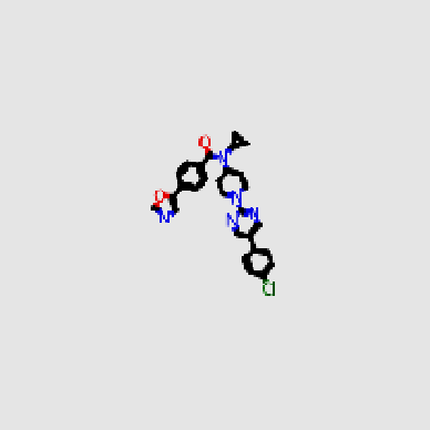 O=C(c1ccc(-c2cnco2)cc1)N(C1CC1)C1CCN(c2ncc(-c3ccc(Cl)cc3)cn2)CC1